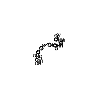 COc1cc(N2CCN(CCOC3CCN(c4ccc5c(c4)C(=O)N(C4CCC(O)NC4=O)C5=O)CC3)CC2)ccc1Nc1ncc(Cl)c(Nc2ccccc2N(C)S(C)(=O)=O)n1